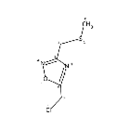 CSCc1noc(CCl)n1